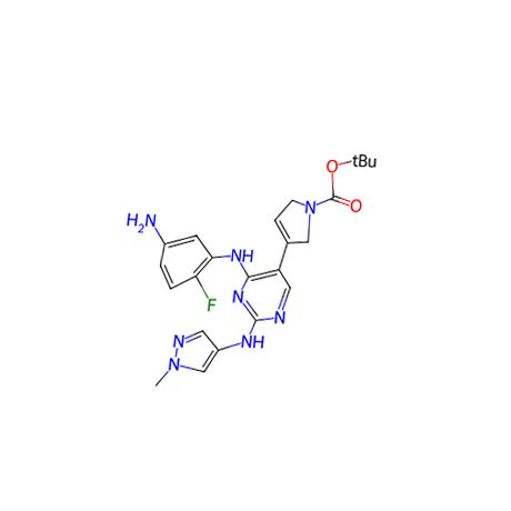 Cn1cc(Nc2ncc(C3=CCN(C(=O)OC(C)(C)C)C3)c(Nc3cc(N)ccc3F)n2)cn1